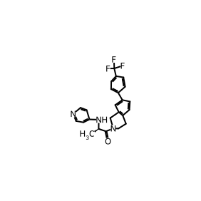 C[C@@H](Nc1ccncc1)C(=O)N1CCc2ccc(-c3ccc(C(F)(F)F)cc3)cc2C1